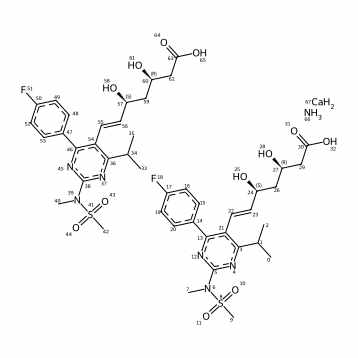 CC(C)c1nc(N(C)S(C)(=O)=O)nc(-c2ccc(F)cc2)c1C=C[C@@H](O)C[C@@H](O)CC(=O)O.CC(C)c1nc(N(C)S(C)(=O)=O)nc(-c2ccc(F)cc2)c1C=C[C@@H](O)C[C@@H](O)CC(=O)O.N.[CaH2]